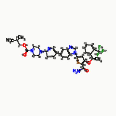 CC(C)COC(=O)N1CCN(c2ccc(-c3ccc4c(c3)ncn4-c3cc(O[C@H](C)c4ccccc4C(F)(F)F)c(C(N)=O)s3)cn2)CC1